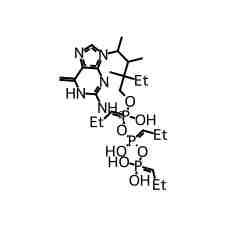 C=C1NC(N)=Nc2c1ncn2C(C)C(C)C(C)(CC)COP(O)(=CCC)OP(O)(=CCC)OP(O)(O)=CCC